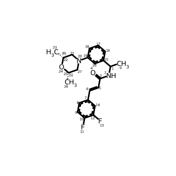 CC(NC(=O)C=Cc1ccc(F)c(F)c1)c1cccc(N2C[C@@H](C)O[C@@H](C)C2)c1